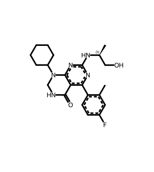 Cc1cc(F)ccc1-c1nc(N[C@@H](C)CO)nc2c1C(=O)NCN2C1CCCCC1